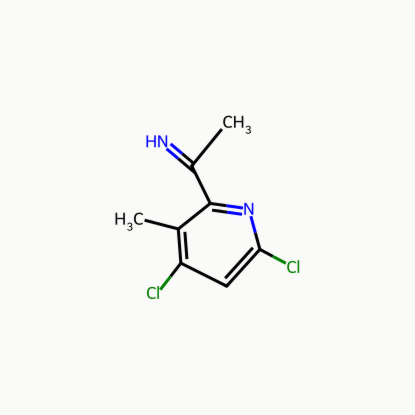 CC(=N)c1nc(Cl)cc(Cl)c1C